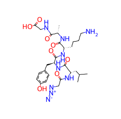 CC(C)C[C@H](NC(=O)CN=[N+]=[N-])C(=O)N[C@@H](Cc1ccc(O)cc1)C(=O)N[C@@H](CCCCN)C(=O)N[C@@H](C)C(=O)NCC(=O)O